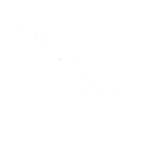 CCCCCCCCCCCCC(O)C1CCC(C(O)CCCCC(O)CCCCCC(O)CC2=CC(C)OC2=O)O1